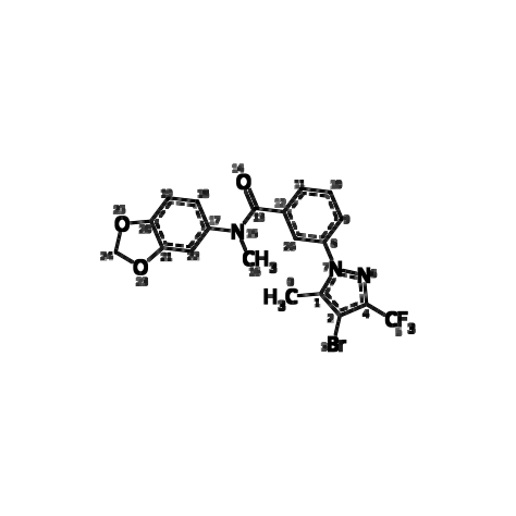 Cc1c(Br)c(C(F)(F)F)nn1-c1cccc(C(=O)N(C)c2ccc3c(c2)OCO3)c1